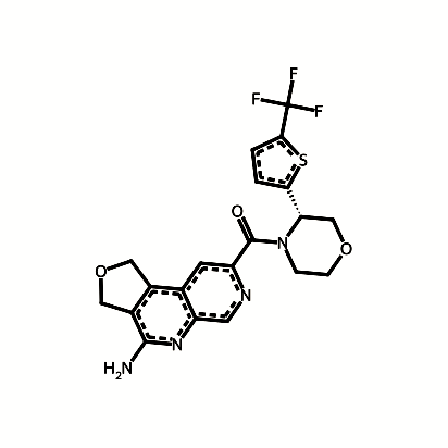 Nc1nc2cnc(C(=O)N3CCOC[C@H]3c3ccc(C(F)(F)F)s3)cc2c2c1COC2